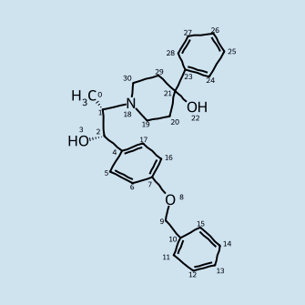 C[C@@H]([C@@H](O)c1ccc(OCc2ccccc2)cc1)N1CCC(O)(c2ccccc2)CC1